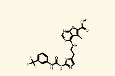 COC(=O)c1sc2ncnc(NCCc3cnc(NC(=O)Nc4cccc(C(F)(F)F)c4)s3)c2c1C